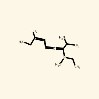 CC/C(C)=C\C=C=C(C(C)N)N(C)CC